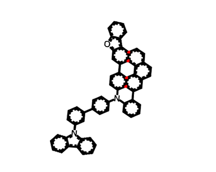 c1cc(-c2ccc(N(c3ccc(-c4ccc5c(c4)oc4ccccc45)cc3)c3ccccc3-c3ccc4c(ccc5ccccc54)c3)cc2)cc(-n2c3ccccc3c3ccccc32)c1